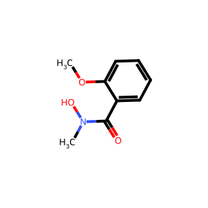 COc1ccccc1C(=O)N(C)O